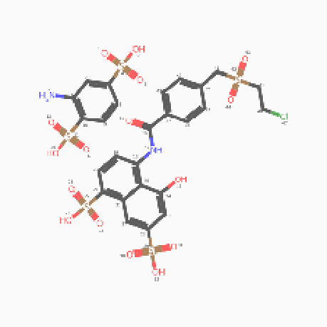 Nc1cc(S(=O)(=O)O)ccc1S(=O)(=O)O.O=C(Nc1ccc(S(=O)(=O)O)c2cc(S(=O)(=O)O)cc(O)c12)c1ccc(CS(=O)(=O)CCCl)cc1